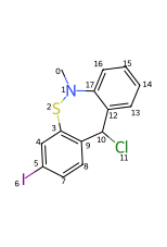 CN1Sc2cc(I)ccc2C(Cl)c2ccccc21